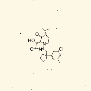 Cc1cc(Cl)cc(C2(Cc3nc(=O)c(O)c4n3CCN(C(C)C)C4=O)CCCC2)c1